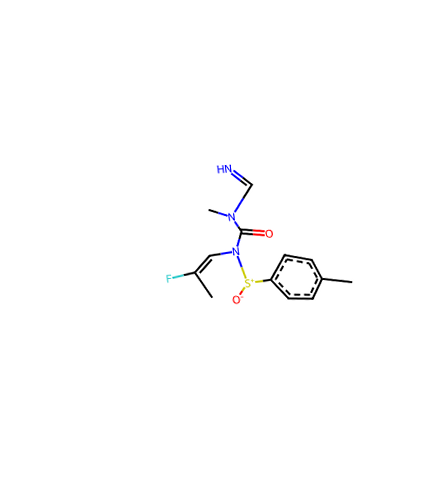 C/C(F)=C\N(C(=O)N(C)C=N)[S+]([O-])c1ccc(C)cc1